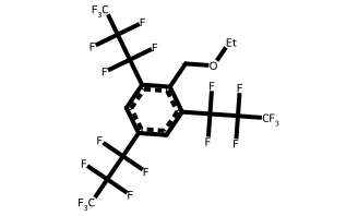 CCO[CH]c1c(C(F)(F)C(F)(F)C(F)(F)F)cc(C(F)(F)C(F)(F)C(F)(F)F)cc1C(F)(F)C(F)(F)C(F)(F)F